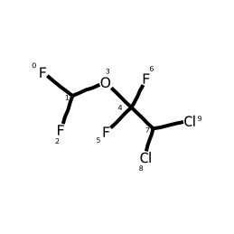 FC(F)OC(F)(F)C(Cl)Cl